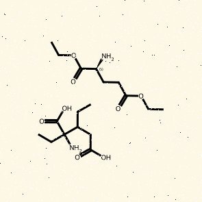 CCC(CC(=O)O)C(N)(CC)C(=O)O.CCOC(=O)CC[C@H](N)C(=O)OCC